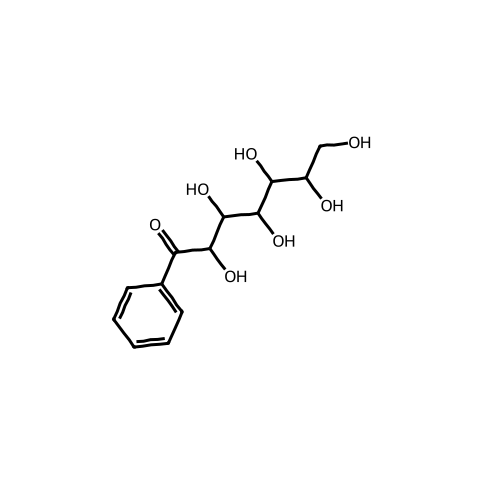 O=C(c1ccccc1)C(O)C(O)C(O)C(O)C(O)CO